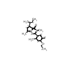 CCOc1cc(C)c(-c2nn3c(C)cc(C(C)CC)c3c(=O)n2C)cc1F